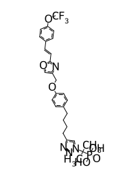 CC(C)(n1cc(CCCCc2ccc(OCc3coc(/C=C/c4ccc(OC(F)(F)F)cc4)n3)cc2)nn1)P(=O)(O)O